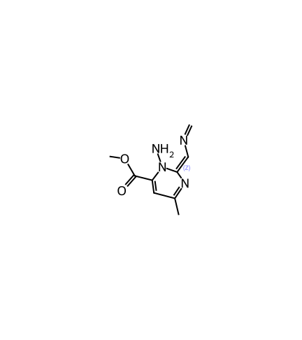 C=N/C=C1/N=C(C)C=C(C(=O)OC)N1N